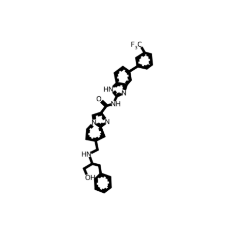 O=C(Nc1nc2cc(-c3cccc(C(F)(F)F)c3)ccc2[nH]1)c1cn2ccc(CNC(CO)Cc3ccccc3)cc2n1